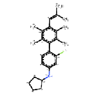 C/C(=C\c1c(C)c(C)c(-c2ccc(NC3CCCC3)cc2F)c(C)c1C)C(=O)O